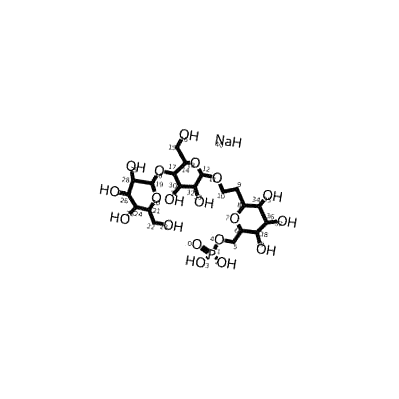 O=P(O)(O)OCC1OC(CCOC2OC(CO)C(OC3OC(CO)C(O)C(O)C3O)C(O)C2O)C(O)C(O)C1O.[NaH]